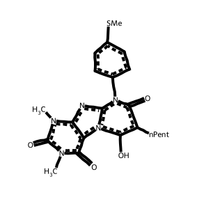 CCCCCc1c(O)n2c3c(=O)n(C)c(=O)n(C)c3nc2n(-c2ccc(SC)cc2)c1=O